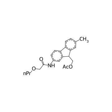 CCCOCC(=O)Nc1ccc2c(c1)C(COC(C)=O)c1cc(C)ccc1-2